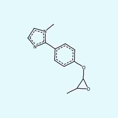 CC1OC1Oc1ccc(-c2nccn2C)cc1